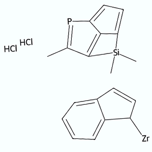 CC1=PC2=CC=C3C2=C1[Si]3(C)C.Cl.Cl.[Zr][CH]1C=Cc2ccccc21